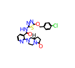 O=C(Nc1nnc(OCc2ccc(Cl)cc2)s1)c1cccnc1N1CCN2C(=O)CC[C@H]2C1